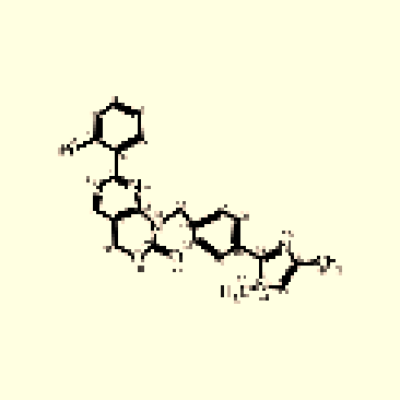 CC(C)c1ccccc1-c1ncc2c(n1)N(Cc1ccc(-c3nc(C(F)(F)F)cn3C)cc1)C(=O)OC2